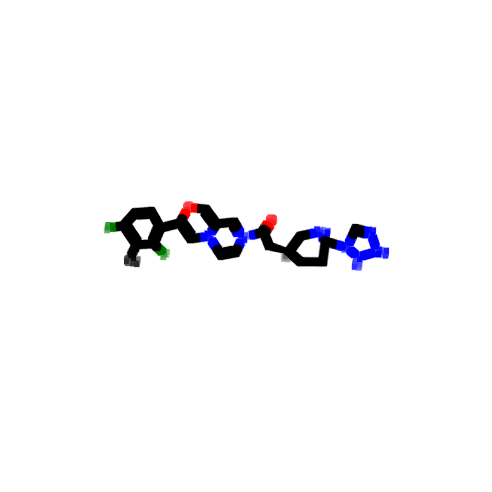 N#Cc1c(F)ccc(C2=CN3C=C[N+](C(=O)C[C@@H]4CCC(N5C=NNN5)NC4)=CC3=CO2)c1F